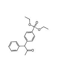 CCOP(=O)(OCC)c1ccc(C(C(C)=O)c2ccccc2)cc1